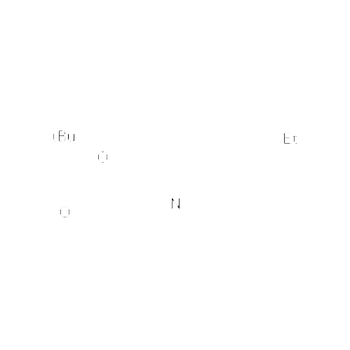 [CH2]CC1CCN(CC(=O)OC(C)(C)C)CC1